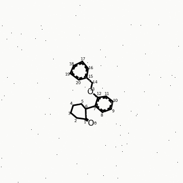 O=C1CCCCC1c1ccccc1OCc1ccccc1